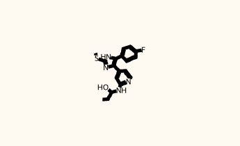 CCC(O)Nc1cc(-c2nc(SC)[nH]c2-c2ccc(F)cc2)ccn1